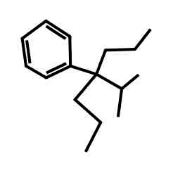 CCCC(CCC)(c1ccccc1)C(C)C